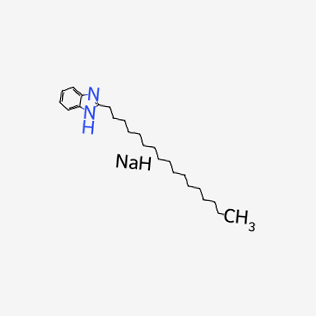 CCCCCCCCCCCCCCCCCc1nc2ccccc2[nH]1.[NaH]